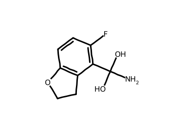 NC(O)(O)c1c(F)ccc2c1CCO2